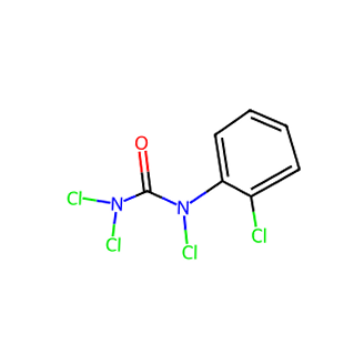 O=C(N(Cl)Cl)N(Cl)c1ccccc1Cl